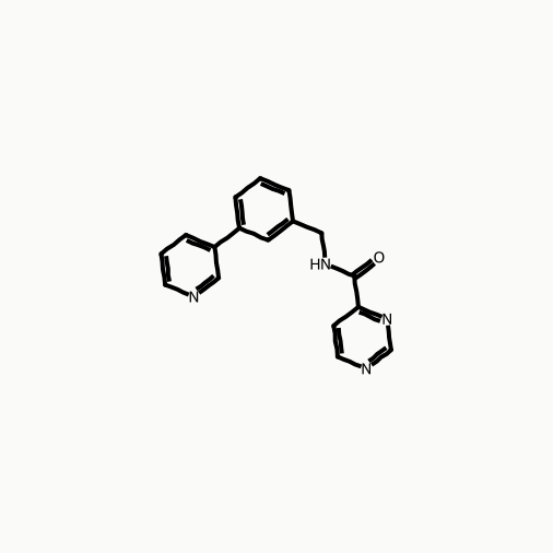 O=C(NCc1cccc(-c2cccnc2)c1)c1ccncn1